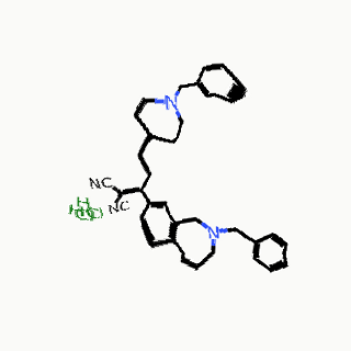 Cl.Cl.N#CC(C#N)=C(CCC1CCN(Cc2ccccc2)CC1)c1ccc2c(c1)CN(Cc1ccccc1)CCC2